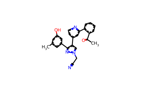 CC(=O)c1ccccc1-c1cc(-c2cn(CC#N)nc2-c2cc(C)cc(O)c2)ccn1